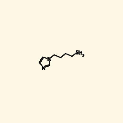 [SiH3]CCCCn1ccnc1